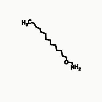 CCCCCCCCCCCCCCOCN